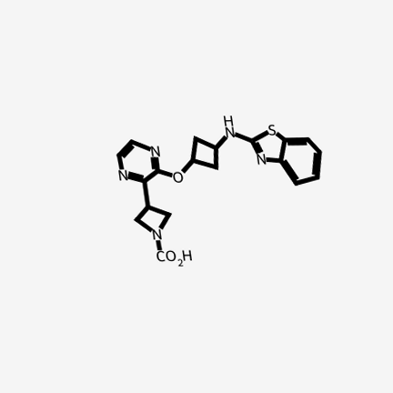 O=C(O)N1CC(c2nccnc2OC2CC(Nc3nc4ccccc4s3)C2)C1